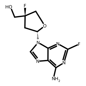 Nc1nc(F)nc2c1ncn2[C@@H]1C[C@](F)(CO)CO1